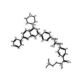 CN(C)CCN(C)C(=O)c1ccc(NC(=O)Nc2ccc(-c3nc(N4CCOCC4)c4ccc(-c5ccncc5)cc4n3)cc2)cc1